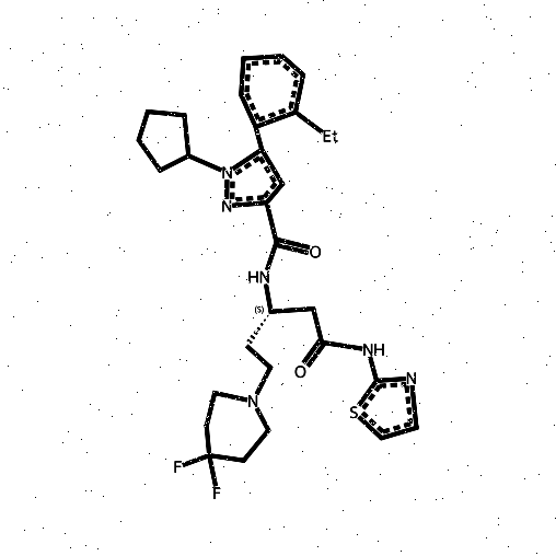 CCc1ccccc1-c1cc(C(=O)N[C@@H](CCN2CCC(F)(F)CC2)CC(=O)Nc2nccs2)nn1C1CCCC1